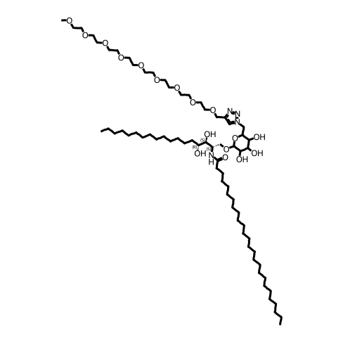 CCCCCCCCCCCCCCCCCCCCCCCCCC(=O)N[C@@H](COC1OC(Cn2cc(COCCOCCOCCOCCOCCOCCOCCOCCOC)nn2)C(O)C(O)C1O)[C@H](O)[C@H](O)CCCCCCCCCCCCCC